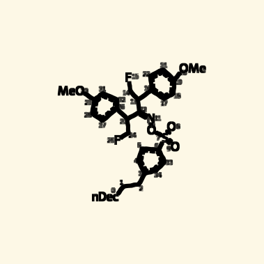 CCCCCCCCCCCCc1ccc(S(=O)(=O)ON=C(C(CF)c2ccc(OC)cc2)C(CF)c2ccc(OC)cc2)cc1